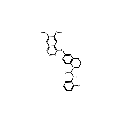 COc1cc2ncnc(Oc3ccc4c(c3)CCCN4C(=O)Nc3ccccc3F)c2cc1OC